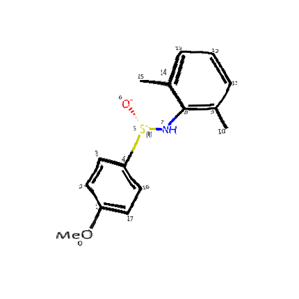 COc1ccc([S@+]([O-])Nc2c(C)cccc2C)cc1